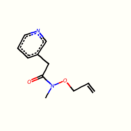 C=CCON(C)C(=O)Cc1cccnc1